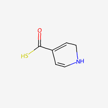 O=C(S)C1=CCNC=C1